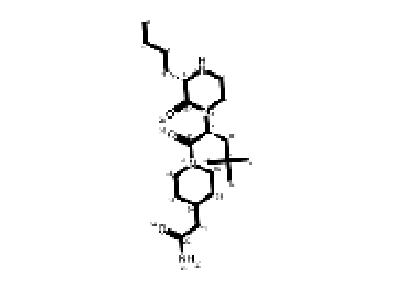 CCCC[C@@H]1NCCN([C@@H](CC(C)(C)C)C(=O)N2CCC(CC(N)=O)CC2)C1=O